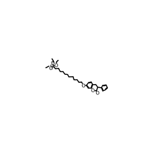 CCO[Si](CCCCCCCCCCCCOc1ccc2c(c1)OC(=O)C(c1ccccc1)C2)(OCC)OCC